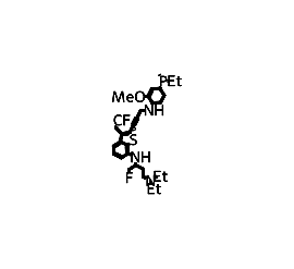 CCN(CC)CCC(CF)Nc1cccc2c(CC(F)(F)F)c(C#CCNC3CCC(P(C)CC)C=C3OC)sc12